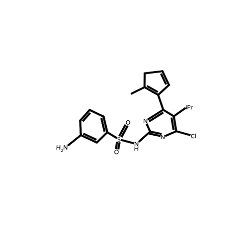 CC1=C(c2nc(NS(=O)(=O)c3cccc(N)c3)nc(Cl)c2C(C)C)C=CC1